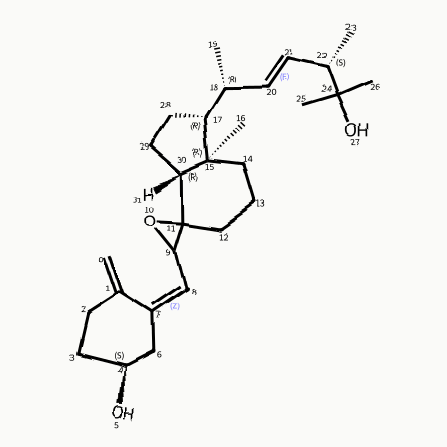 C=C1CC[C@H](O)C/C1=C/C1OC12CCC[C@]1(C)[C@@H]([C@H](C)/C=C/[C@H](C)C(C)(C)O)CC[C@@H]21